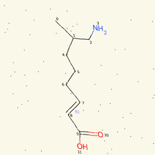 CC(CN)CCC/C=C/C(=O)O